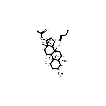 CCC=C[C@H]1C[C@H](OC(C)=O)[C@@]2(C)CC[C@H]3[C@@H](CC[C@H]4C[C@H](O)C[C@H](C)[C@@]43C)[C@H]12